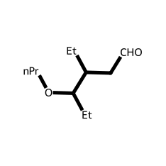 [CH2]CC(OCCC)C(CC)CC=O